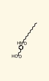 CCCCCCCCCCCCC(=O)Nc1ccc(CCC(=O)O)cc1